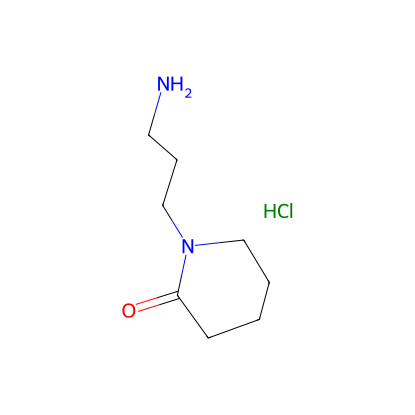 Cl.NCCCN1CCCCC1=O